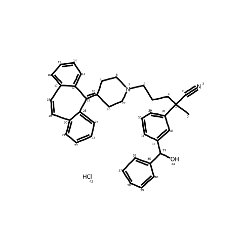 CC(C#N)(CCCN1CCC(=C2c3ccccc3C=Cc3ccccc32)CC1)c1cccc(C(O)c2ccccc2)c1.Cl